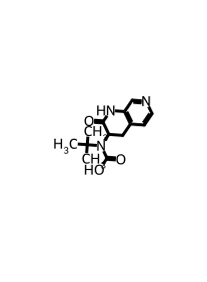 CC(C)(C)N(C(=O)O)C1Cc2ccncc2NC1=O